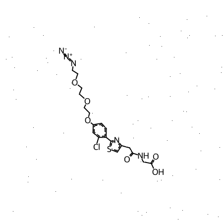 [N-]=[N+]=NCCOCCOCCOc1ccc(-c2nc(CC(=O)NCC(=O)O)cs2)c(Cl)c1